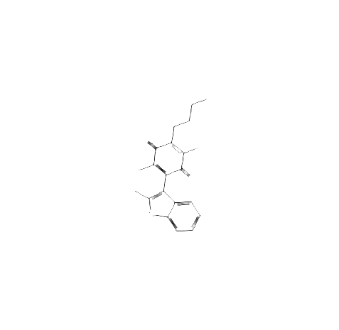 CCCCC1=C(Cl)C(=O)C(c2c(C)[nH]c3ccccc23)=C(Cl)C1=O